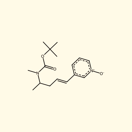 CC(C/C=C/c1ccc[n+]([O-])c1)N(C)C(=O)OC(C)(C)C